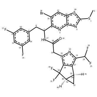 CSc1nc2nc(C(Cc3cc(F)cc(F)c3)NC(=O)Cn3nc(C(F)F)c4c3C(F)(F)[C@@H]3C[C@H]43)c(Br)cc2s1